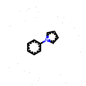 [c]1cccn1-c1ccccc1